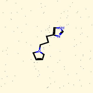 C1=CCN(CCCc2c[nH]cn2)C1